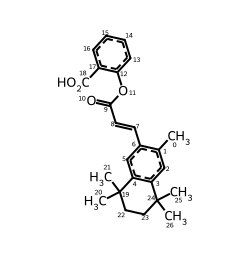 Cc1cc2c(cc1C=CC(=O)Oc1ccccc1C(=O)O)C(C)(C)CCC2(C)C